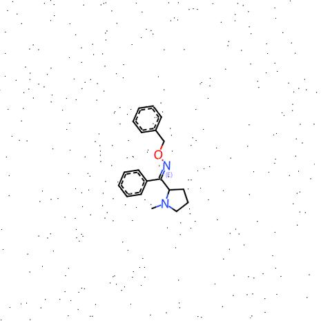 CN1CCCC1/C(=N/OCc1ccccc1)c1ccccc1